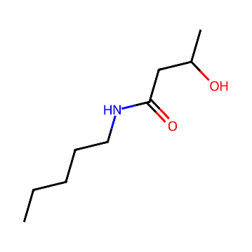 CCCCCNC(=O)CC(C)O